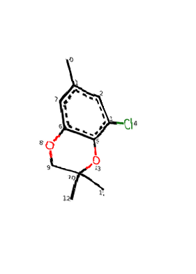 Cc1cc(Cl)c2c(c1)OCC(C)(C)O2